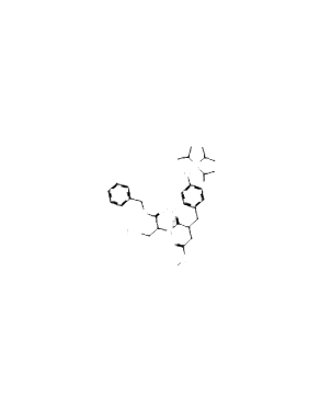 COC(=O)CC(Cc1ccc(O[Si](C(C)C)(C(C)C)C(C)C)cc1)C(=O)NC(CO)C(=O)OCc1ccccc1